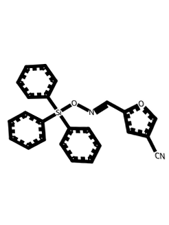 N#Cc1coc(C=NO[Si](c2ccccc2)(c2ccccc2)c2ccccc2)c1